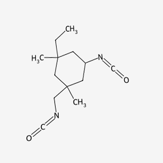 CCC1(C)CC(N=C=O)CC(C)(CN=C=O)C1